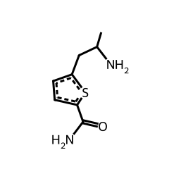 CC(N)Cc1ccc(C(N)=O)s1